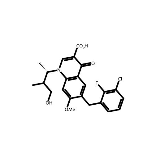 COc1cc2c(cc1Cc1cccc(Cl)c1F)c(=O)c(C(=O)O)cn2[C@@H](C)C(C)CO